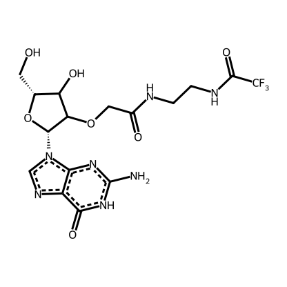 Nc1nc2c(ncn2[C@@H]2O[C@H](CO)C(O)C2OCC(=O)NCCNC(=O)C(F)(F)F)c(=O)[nH]1